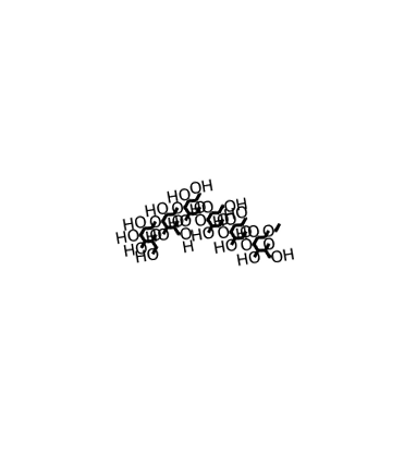 CCOC1OC(CO)C(O)C(OC2OC(CO)C(O)C(OC3OC(CO)C(O)C(OC4OC(CO)C(O)C(OC5OC(CO)C(O)C(OC6OC(CO)C(O)C(O)C6O)C5O)C4O)C3O)C2O)C1O